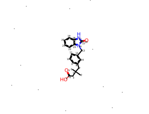 CC(C)(CC(=O)O)Cc1cccc(Cn2c(=O)[nH]c3ccccc32)c1